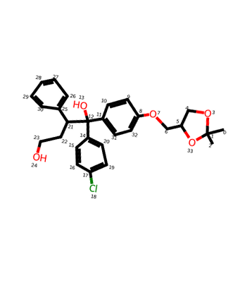 CC1(C)OCC(COc2ccc(C(O)(c3ccc(Cl)cc3)C(CCO)c3ccccc3)cc2)O1